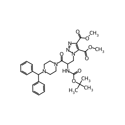 COC(=O)c1nnn(CC(NC(=O)OC(C)(C)C)C(=O)N2CCN(C(c3ccccc3)c3ccccc3)CC2)c1C(=O)OC